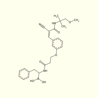 COCC(C)(C)NC(=O)C(C#N)=Cc1cccc(OCCC(=O)NC(Cc2ccccc2)B(O)O)c1